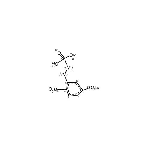 COc1ccc([N+](=O)[O-])c(NNP(=O)(O)O)c1